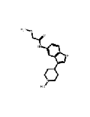 COCC(=O)Nc1ccc2[nH]cc(C3CCN(C)CC3)c2c1